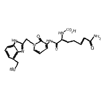 CC(C)(C)Cc1cccc2[nH]c(Cn3cccc(NC(=O)C(CCC=CC(N)=O)NC(=O)O)c3=O)nc12